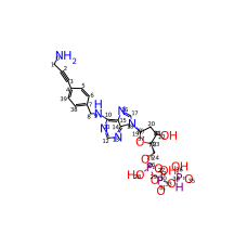 NCC#Cc1ccc(CNc2ncnc3c2ncn3[C@H]2C[C@@H](O)[C@@H](COP(=O)(O)OP(=O)(O)O[PH](=O)O)O2)cc1